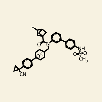 CS(=O)(=O)Nc1ccc(-c2cccc(N(CC34CCC(c5ccc(C6(C#N)CC6)cc5)(CC3)OC4)C(=O)C34CC(F)C(C3)C4)c2)cc1